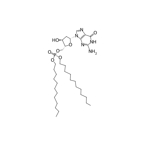 CCCCCCCCCCCCOP(=O)(OCCCCCCCCCCCC)OC[C@H]1O[C@@H](n2cnc3c(=O)[nH]c(N)nc32)C[C@@H]1O